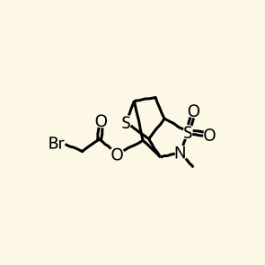 CN1C2C(OC(=O)CBr)C3CC(C2S3)S1(=O)=O